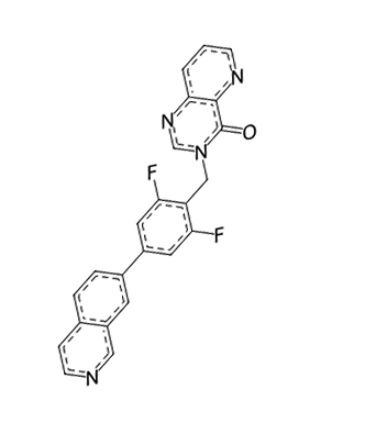 O=c1c2ncccc2ncn1Cc1c(F)cc(-c2ccc3ccncc3c2)cc1F